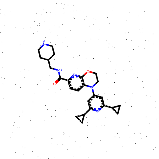 O=C(NCC1CCNCC1)c1ccc2c(n1)OCCN2c1cc(C2CC2)nc(C2CC2)c1